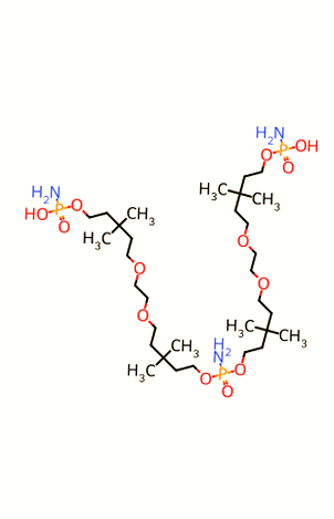 CC(C)(CCOCCOCCC(C)(C)CCOP(N)(=O)OCCC(C)(C)CCOCCOCCC(C)(C)CCOP(N)(=O)O)CCOP(N)(=O)O